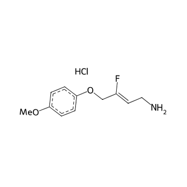 COc1ccc(OCC(F)=CCN)cc1.Cl